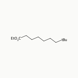 CCOC(=O)CCCCCCC(C)(C)C